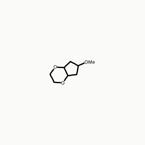 COC1CC2OCCOC2C1